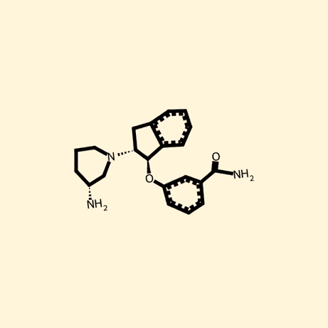 NC(=O)c1cccc(O[C@@H]2c3ccccc3C[C@H]2N2CCC[C@@H](N)C2)c1